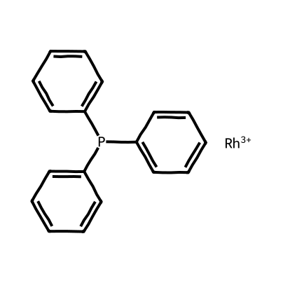 [Rh+3].c1ccc(P(c2ccccc2)c2ccccc2)cc1